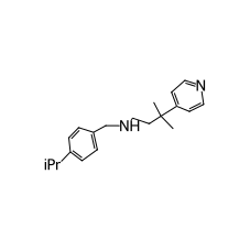 CC(C)c1ccc(CNCCC(C)(C)c2ccncc2)cc1